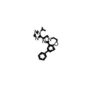 CC(C)n1ncnc1-c1cn2c(n1)-c1cc(-c3ccccc3)ccc1OCC2